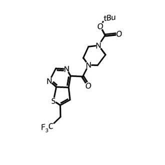 CC(C)(C)OC(=O)N1CCN(C(=O)c2ncnc3sc(CC(F)(F)F)cc23)CC1